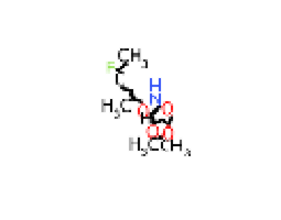 CCC(F)=C=C/C=C(\C)COC1C(=N)OCC2C[C@@H]1OC(C)(C)O2